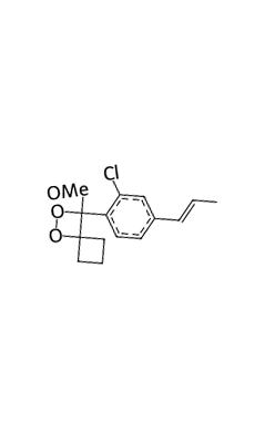 C/C=C/c1ccc(C2(OC)OOC23CCC3)c(Cl)c1